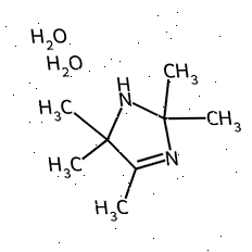 CC1=NC(C)(C)NC1(C)C.O.O